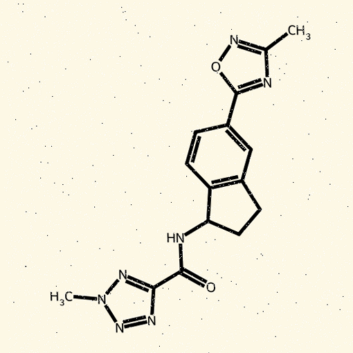 Cc1noc(-c2ccc3c(c2)CCC3NC(=O)c2nnn(C)n2)n1